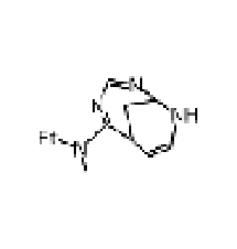 CCN(C)C1=NC=NC2CC1C=CN2